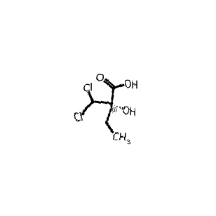 CC[C@](O)(C(=O)O)C(Cl)Cl